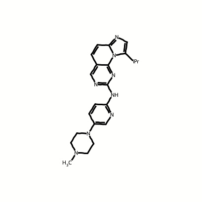 CC(C)c1cnc2ccc3cnc(Nc4ccc(N5CCN(C)CC5)cn4)nc3n12